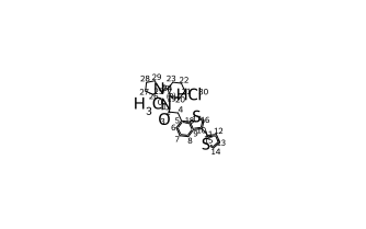 CN(C(=O)Cc1cccc2c(-c3cccs3)csc12)[C@@H]1CCCC[C@H]1N1CCCC1.Cl